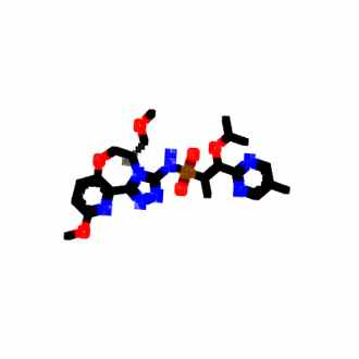 COC[C@H]1COc2ccc(OC)nc2-c2nnc(NS(=O)(=O)C(C)C(OC(C)C)c3ncc(C)cn3)n21